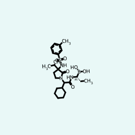 CC[C@H](NC(=O)C(C1CCCCC1)N1CCC(NS(=O)(=O)c2cccc(C)c2)(C(C)C)C1=O)B(O)O